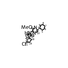 COc1nc(-c2ccccc2)cnc1NS(=O)(=O)c1ccc(Cl)s1